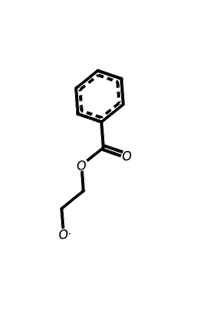 [O]CCOC(=O)c1ccccc1